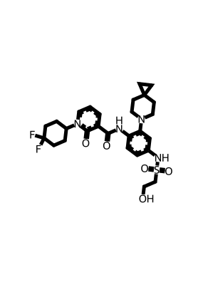 O=C(Nc1ccc(NS(=O)(=O)CCO)cc1N1CCC2(CC1)CC2)c1cccn(C2CCC(F)(F)CC2)c1=O